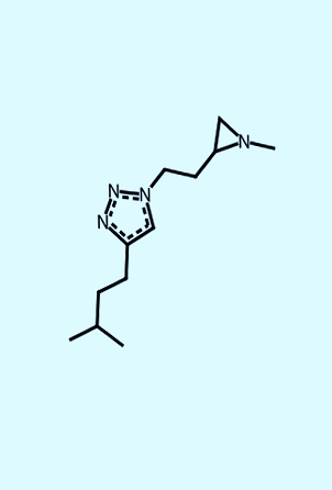 CC(C)CCc1cn(CCC2CN2C)nn1